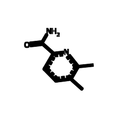 Cc1ccc(C(N)=O)nc1C